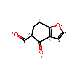 O=CC1CCc2occc2C1=O